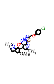 COc1cc2ccn(C)c2cc1-c1cc(C)nc(-c2nnc(COc3ccc(Cl)cc3)s2)c1C(N)=O